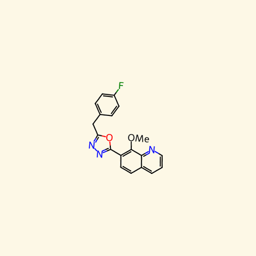 COc1c(-c2nnc(Cc3ccc(F)cc3)o2)ccc2cccnc12